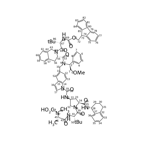 COC[C@H](c1ccccc1)N(Cc1ccc2c(ccn2C(=O)N[C@H]2C[C@@H](C(=O)N[C@@H]3CCCc4ccccc43)N(C(=O)[C@@H](NC(=O)[C@H](C)N(C)C(=O)O)C(C)(C)C)C2)c1)C(=O)[C@@H]1Cc2ccccc2CN1C(=O)[C@@H](NC(=O)OCC1c2ccccc2-c2ccccc21)C(C)(C)C